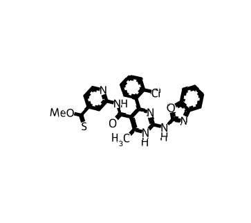 COC(=S)c1ccnc(NC(=O)C2=C(C)NC(Nc3nc4ccccc4o3)=NC2c2ccccc2Cl)c1